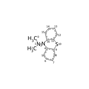 CN(C)N1c2ccccc2Sc2ccccc21